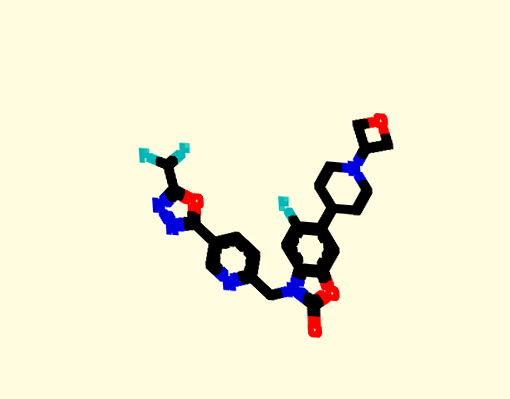 O=c1oc2cc(C3CCN(C4COC4)CC3)c(F)cc2n1Cc1ccc(-c2nnc(C(F)F)o2)cn1